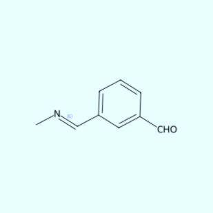 C/N=C/c1cccc(C=O)c1